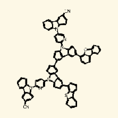 N#Cc1ccc2c(c1)c1ccccc1n2-c1ccc(-n2c3ccc(-c4ccc5c(c4)c4cc(-c6cccc7c6sc6ccccc67)ccc4n5-c4ccc(-n5c6ccccc6c6cc(C#N)ccc65)nc4)cc3c3cc(-c4cccc5c4oc4ccccc45)ccc32)nc1